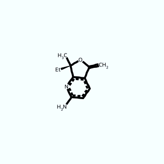 C=C1O[C@](C)(CC)c2nc(N)ccc21